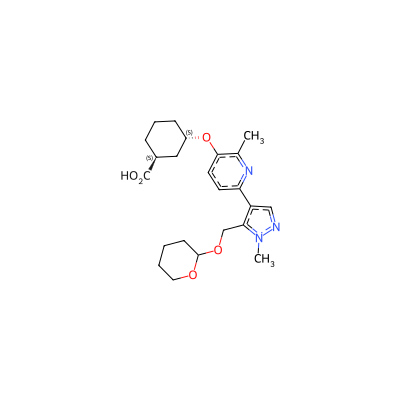 Cc1nc(-c2cnn(C)c2COC2CCCCO2)ccc1O[C@H]1CCC[C@H](C(=O)O)C1